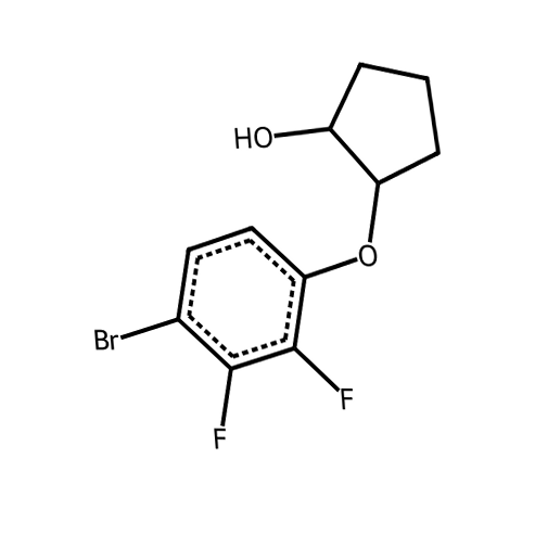 OC1CCCC1Oc1ccc(Br)c(F)c1F